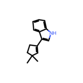 CC1(C)C=C(c2c[nH]c3ccccc23)CC1